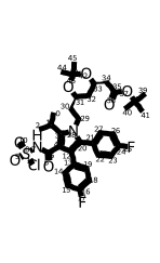 CC(C)c1c(C(=O)NS(=O)(=O)Cl)c(-c2ccc(F)cc2)c(-c2ccc(F)cc2)n1CC[C@@H]1C[C@H](CC(=O)OC(C)(C)C)OC(C)(C)O1